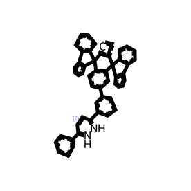 N=C(/C=C\C(=N)c1cccc(-c2ccc3c(c2)C2(c4ccccc4-c4ccccc42)c2ccccc2C32c3ccccc3-c3ccccc32)c1)c1ccccc1